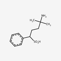 CC(C)(N)CCC(c1ccccc1)S(=O)(=O)O